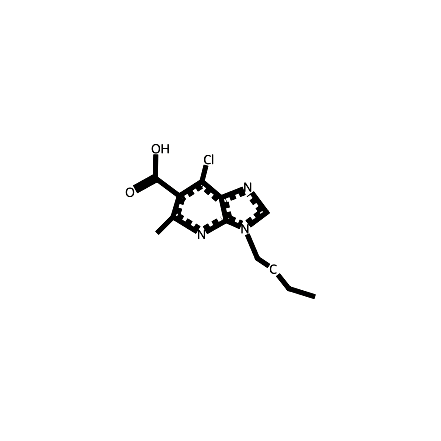 CCCCn1cnc2c(Cl)c(C(=O)O)c(C)nc21